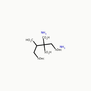 CCCCCCCCCCCC(C(=O)O)C(CCCCCCCCCCC)(C(=O)O)S(=O)(=O)O.N.N